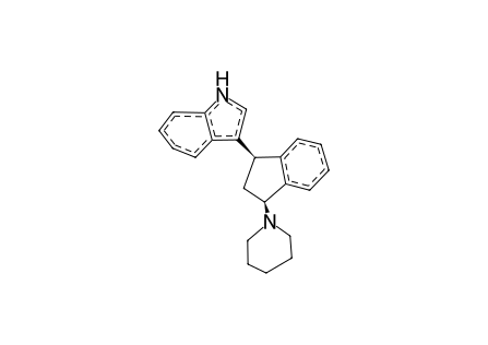 c1ccc2c(c1)[C@H](c1c[nH]c3ccccc13)C[C@@H]2N1CCCCC1